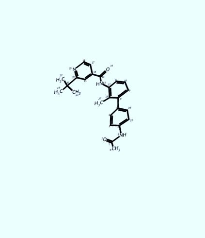 CC(=O)Nc1ccc(-c2cccc(NC(=O)c3ccnc(C(C)(C)C)c3)c2C)cc1